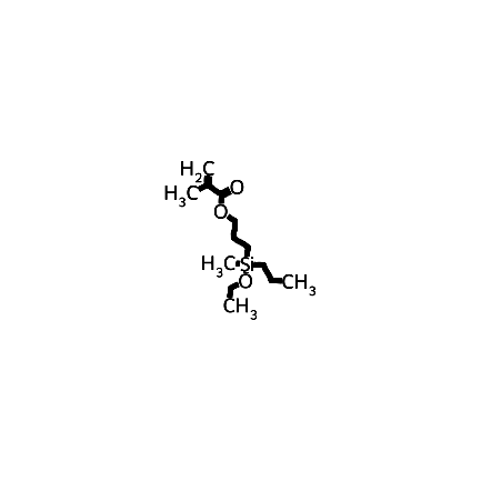 C=C(C)C(=O)OCCC[Si](C)(CCC)OCC